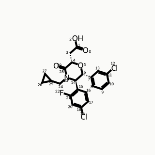 O=C(O)C[C@@H]1O[C@H](c2cccc(Cl)c2)[C@@H](c2ccc(Cl)cc2F)N(CC2CC2)C1=O